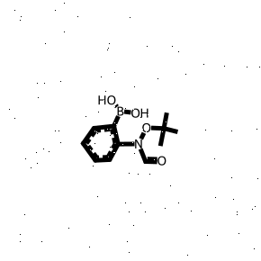 CC(C)(C)ON(C=O)c1ccccc1B(O)O